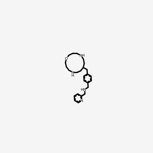 c1ccc(CNCc2ccc(CC3CCNCCCOCCCNCC3)cc2)nc1